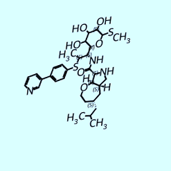 CSC1O[C@H]([C@H](NC(=O)[C@H]2NC[C@@H]3C[C@H](CC(C)C)CCO[C@H]32)[C@H](C)Sc2ccc(-c3cccnc3)cc2)C(O)C(O)[C@H]1O